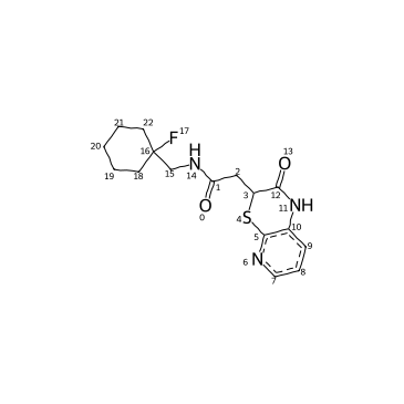 O=C(CC1Sc2ncccc2NC1=O)NCC1(F)CCCCC1